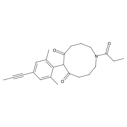 CC#Cc1cc(C)c(C2C(=O)CCCN(C(=O)CC)CCCC2=O)c(C)c1